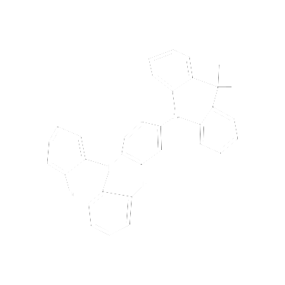 CC1(C)c2ccccc2N(c2ccc(P(c3ccccc3Br)c3ccccc3Br)cc2)c2ccccc21